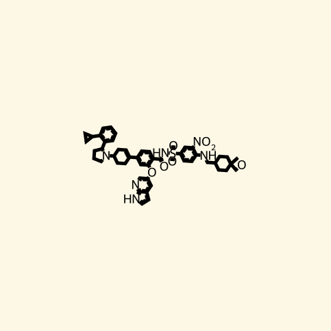 O=C(NS(=O)(=O)c1ccc(NCC2CCC3(CC2)COC3)c([N+](=O)[O-])c1)c1ccc(C2=CCC(N3CCCC3c3ccccc3C3CC3)CC2)cc1Oc1cnc2[nH]ccc2c1